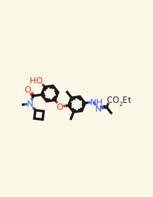 CCOC(=O)/C(C)=N\Nc1cc(C)c(Oc2ccc(O)c(C(=O)N(C)C3CCC3)c2)c(C)c1